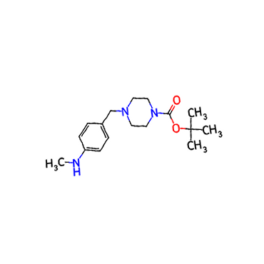 CNc1ccc(CN2CCN(C(=O)OC(C)(C)C)CC2)cc1